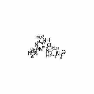 CC(=O)N1CCC(NC(=O)c2nc(-n3ccnc3)nc3cc[nH]c23)CC1